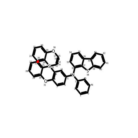 c1ccc(N(c2ccc3c(c2)[Si]2(c4ccccc4Oc4ccccc42)c2ccccc2O3)c2cccc3c2sc2ccccc23)cc1